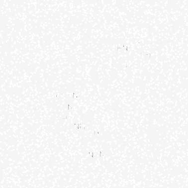 CC1(NC(=O)O[C@@H]2CC[C@H](c3cc(Nc4cnnc(Cl)n4)n(C(C)(C)C)n3)C2)CC1